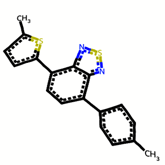 Cc1ccc(-c2ccc(-c3ccc(C)s3)c3nsnc23)cc1